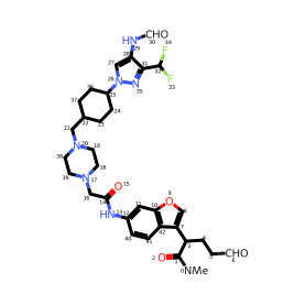 CNC(=O)C(CCC=O)c1coc2cc(NC(=O)CN3CCN(CC4CCC(n5cc(NC=O)c(C(F)F)n5)CC4)CC3)ccc12